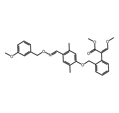 COC=C(C(=O)OC)c1ccccc1COc1cc(C)c(C=NOCc2cccc(OC)c2)cc1C